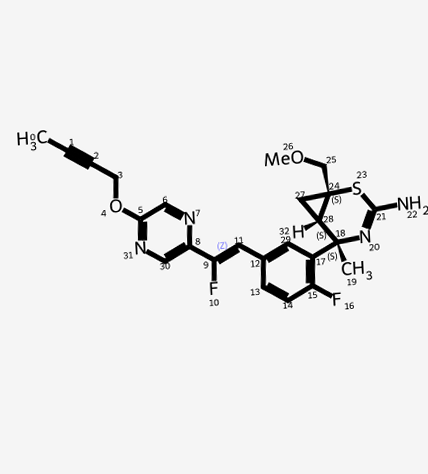 CC#CCOc1cnc(/C(F)=C/c2ccc(F)c([C@@]3(C)N=C(N)S[C@@]4(COC)C[C@H]43)c2)cn1